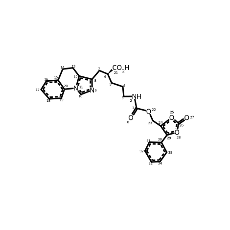 O=C(NCCC[C@@H](Cc1ncn2c1CCc1ccccc1-2)C(=O)O)OCc1oc(=O)oc1-c1ccccc1